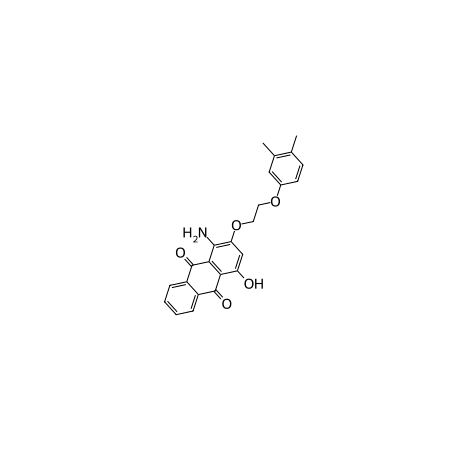 Cc1ccc(OCCOc2cc(O)c3c(c2N)C(=O)c2ccccc2C3=O)cc1C